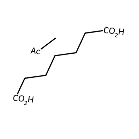 CC(C)=O.O=C(O)CCCCCC(=O)O